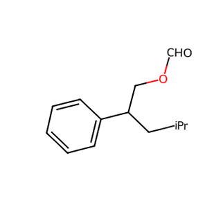 CC(C)CC(COC=O)c1ccccc1